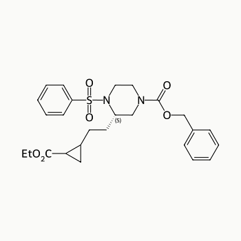 CCOC(=O)C1CC1CC[C@H]1CN(C(=O)OCc2ccccc2)CCN1S(=O)(=O)c1ccccc1